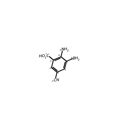 Bc1cc(C#N)cc(C(=O)O)c1N